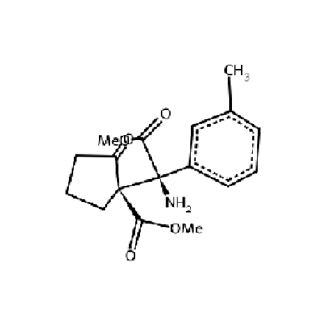 COC(=O)[C@@]1([C@](N)(C(=O)OC)c2cccc(C)c2)CCCC1=O